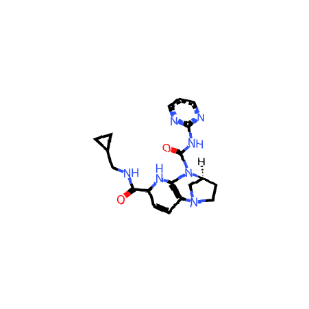 O=C(NCC1CC1)C1C=CC2=C(N1)N(C(=O)Nc1ncccn1)[C@H]1CCN2C1